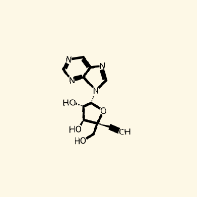 C#C[C@]1(CO)O[C@@H](n2cnc3cncnc32)[C@@H](O)[C@@H]1O